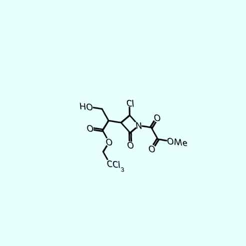 COC(=O)C(=O)N1C(=O)C(C(CO)C(=O)OCC(Cl)(Cl)Cl)C1Cl